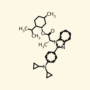 CC1CCC(C(C)C)[C@H](OC(=O)[C@@H](C)n2c(-c3ccc(N(C4CC4)C4CC4)cc3)nc3ccccc32)C1